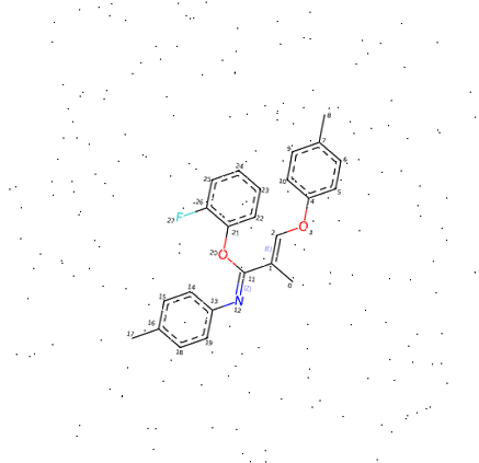 CC(=C\Oc1ccc(C)cc1)/C(=N/c1ccc(C)cc1)Oc1ccccc1F